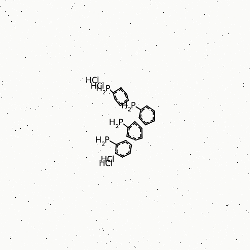 Cl.Cl.Cl.Cl.Pc1ccccc1.Pc1ccccc1.Pc1ccccc1.Pc1ccccc1